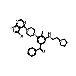 Cc1c(NCCN2CCCC2)cc(C(=O)c2ccccc2)cc1N1CCN(c2ncnc3[nH]nc(Br)c23)CC1